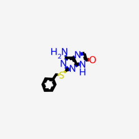 Nc1nc(SCc2ccccc2)nc2[nH]c(=O)cnc12